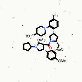 COC[C@@H]1C[C@@H](c2ccc(C(F)(F)F)cc2N2CCC(C(=O)O)CC2)CN1C(=O)[C@]1(OC)CN(C2CCCC2)C[C@H]1c1ccc(OC)cc1